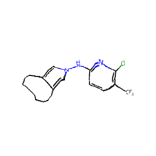 FC(F)(F)c1ccc(Nn2cc3c(c2)CCCC3)nc1Cl